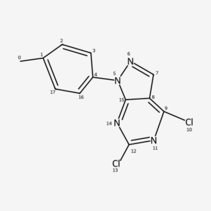 Cc1ccc(-n2ncc3c(Cl)nc(Cl)nc32)cc1